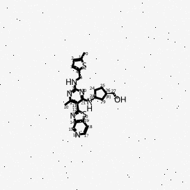 Cc1ccc(CNc2nc(C)c(-c3nc4cnccc4s3)c(N[C@H]3CC[C@@H](CO)C3)n2)s1